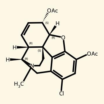 CC(=O)Oc1cc(Cl)c2c3c1O[C@H]1[C@@H](OC(C)=O)C=C[C@H]4[C@@H](C2)N(C)CC[C@@]341